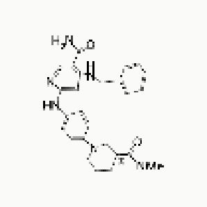 CNC(=O)[C@H]1CCCN(c2ccc(Nc3cc(NCc4ccccc4)c(C(N)=O)cn3)cc2)C1